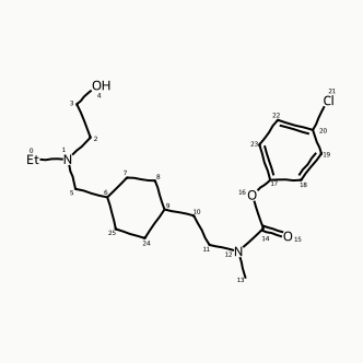 CCN(CCO)CC1CCC(CCN(C)C(=O)Oc2ccc(Cl)cc2)CC1